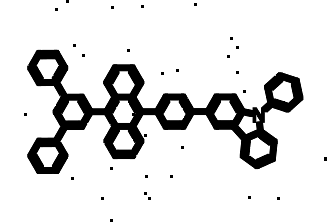 c1ccc(-c2cc(-c3ccccc3)cc(-c3c4ccccc4c(-c4ccc(-c5ccc6c(c5)c5ccccc5n6-c5ccccc5)cc4)c4ccccc34)c2)cc1